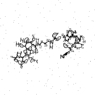 CO[C@@H]1OC(CO)[C@@H](O)[C@H](O[C@@H]2OC(C(=O)NCCCCNC(=O)OCn3ccc4c(N(C)[C@H]5CN(C(=O)CC#N)CC[C@H]5C)ncnc43)[C@@H](OC)[C@H](O)C2O)C1NC(C)=O